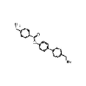 CCC(C)Cc1ccc(-c2ccc(OC(=O)c3ccc(CP)cc3)cc2)cc1